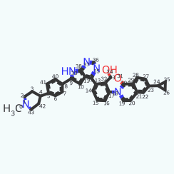 CN1CCC(c2ccc(-c3cc4c(-c5cccc(-n6ccc7cc(C8CC8)ccc7c6=O)c5CO)ncnc4[nH]3)cc2)CC1